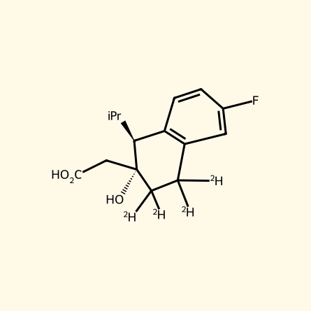 [2H]C1([2H])c2cc(F)ccc2[C@H](C(C)C)[C@](O)(CC(=O)O)C1([2H])[2H]